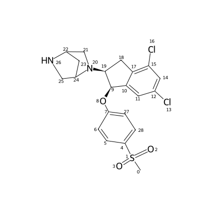 CS(=O)(=O)c1ccc(O[C@@H]2c3cc(Cl)cc(Cl)c3C[C@@H]2N2CC3CC2CN3)cc1